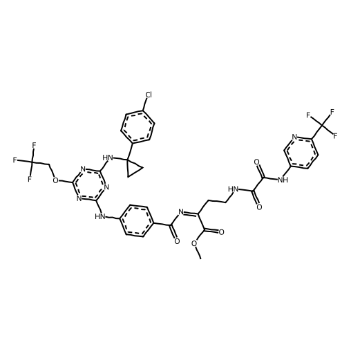 COC(=O)/C(CCNC(=O)C(=O)Nc1ccc(C(F)(F)F)nc1)=N\C(=O)c1ccc(Nc2nc(NC3(c4ccc(Cl)cc4)CC3)nc(OCC(F)(F)F)n2)cc1